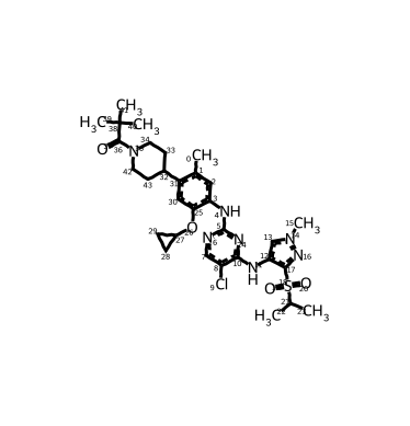 Cc1cc(Nc2ncc(Cl)c(Nc3cn(C)nc3S(=O)(=O)C(C)C)n2)c(OC2CC2)cc1C1CCN(C(=O)C(C)(C)C)CC1